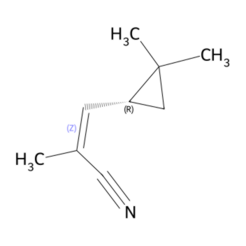 C/C(C#N)=C/[C@H]1CC1(C)C